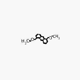 C=COCc1cccc2cc3c(COCC)cccc3cc12